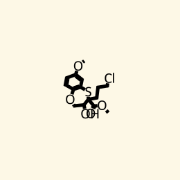 COC(=O)C1(CCCCl)Sc2cc(OC)ccc2OCC1O